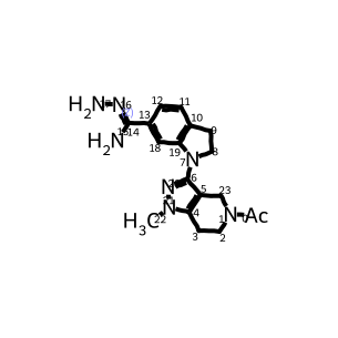 CC(=O)N1CCc2c(c(N3CCc4ccc(/C(N)=N/N)cc43)nn2C)C1